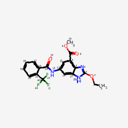 CCOc1nc2c(C(=O)OC)cc(NC(=O)c3ccccc3C(F)(F)F)cc2[nH]1